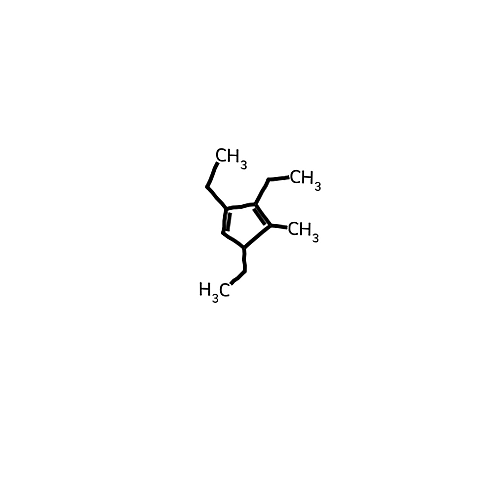 CCC1=CC(CC)C(C)=C1CC